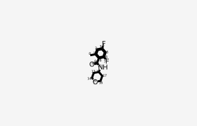 Cc1cc(F)cc(F)c1C(=O)NC1CCOCC1